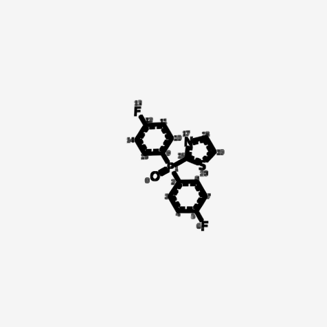 O=P(c1ccc(F)cc1)(c1ccc(F)cc1)c1nccs1